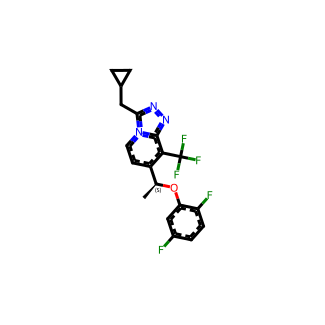 C[C@H](Oc1cc(F)ccc1F)c1ccn2c(CC3CC3)nnc2c1C(F)(F)F